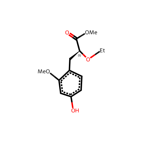 CCO[C@@H](Cc1ccc(O)cc1OC)C(=O)OC